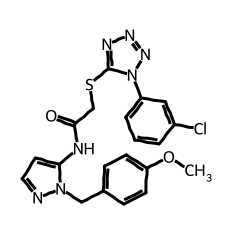 COc1ccc(Cn2nccc2NC(=O)CSc2nnnn2-c2cccc(Cl)c2)cc1